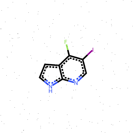 Fc1c(I)cnc2[nH]ccc12